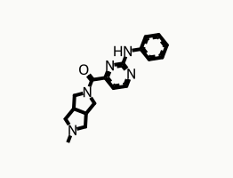 CN1CC2CN(C(=O)c3ccnc(Nc4ccccc4)n3)CC2C1